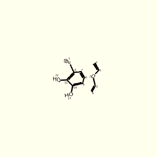 C=COC=C.CC(C)(C)c1cccc(O)c1O